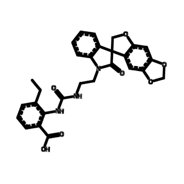 CCc1cccc(C(=O)O)c1NC(=O)NCCN1C(=O)C2(COc3cc4c(cc32)OCO4)c2ccccc21